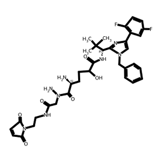 CC(C)(C)[C@@H](NC(=O)C(O)CC[C@H](N)C(=O)N(N)CC(=O)NCCN1C(=O)C=CC1=O)c1nc(-c2cc(F)ccc2F)cn1Cc1ccccc1